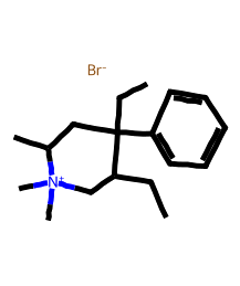 CCC1C[N+](C)(C)C(C)CC1(CC)c1ccccc1.[Br-]